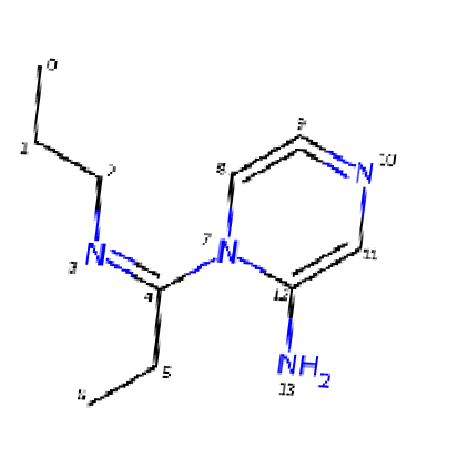 CCC/N=C(/CC)N1C=C=NC=C1N